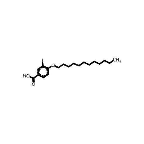 CCCCCCCCCCCCOc1ccc(C(=O)O)cc1I